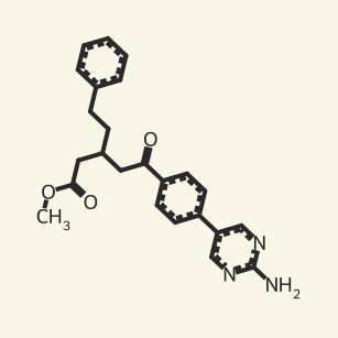 COC(=O)CC(CCc1ccccc1)CC(=O)c1ccc(-c2cnc(N)nc2)cc1